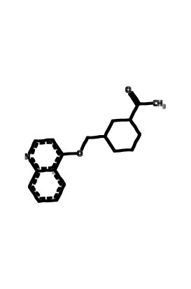 CC(=O)C1CCCC(COc2ccnc3ccccc23)C1